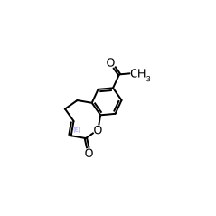 CC(=O)c1ccc2c(c1)CC/C=C/C(=O)O2